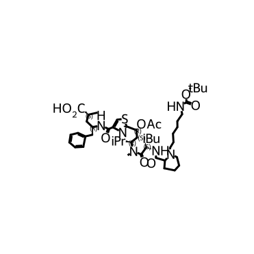 CC[C@H](C)[C@H](NC(=O)C1CCCCN1CCCCCCNC(=O)OC(C)(C)C)C(=O)N(C)[C@H](C[C@@H](OC(C)=O)c1nc(C(=O)N[C@@H](Cc2ccccc2)C[C@H](C)C(=O)O)cs1)C(C)C